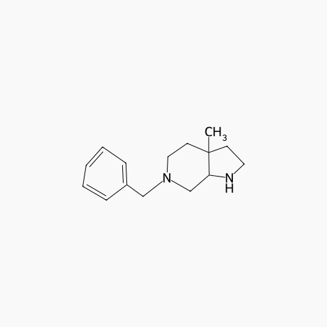 CC12CCNC1CN(Cc1ccccc1)CC2